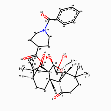 CC1(C)CCC(=O)[C@]23CO[C@](O)([C@@H](O)[C@H]12)[C@]12C(=O)C(C)(C)[C@H](CC[C@@H]31)[C@H]2OC(=O)C1CCN(C(=O)c2ccccc2)CC1